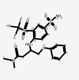 CN(C)C(=O)CC(CSc1ccccc1)Nc1ccc(S(N)(=O)=O)cc1S(=O)(=O)C(F)(F)F